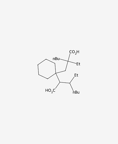 CCCCC(CC)C(C(=O)O)C1(CC(CC)(CCCC)C(=O)O)CCCCC1